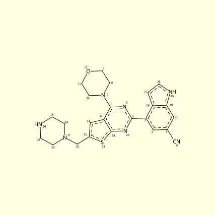 N#Cc1cc(-c2nc(N3CCOCC3)c3cc(CN4CCNCC4)sc3n2)c2cc[nH]c2c1